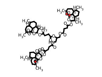 C[C@H]1[C@H](OC(=O)CCC(=O)OCC(CNC(=O)CCC(=O)O[C@@H]2O[C@@H]3O[C@@]4(C)CC[C@H]5[C@H](C)CC[C@@](C)([C@H]2C)[C@@]35OO4)OC(=O)CCC(=O)O[C@@H]2O[C@@H]3O[C@@]4(C)CC[C@H]5[C@H](C)CC[C@@H]([C@H]2C)[C@@]35OO4)O[C@@H]2O[C@@]3(C)CC[C@H]4[C@H](C)CC[C@@H]1[C@@]24OO3